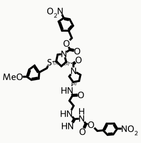 COc1ccc(CS[C@H]2C[C@@H](C(=O)N3CC[C@H](NC(=O)CCNC(=N)NC(=O)OCc4ccc([N+](=O)[O-])cc4)C3)N(C(=O)OCc3ccc([N+](=O)[O-])cc3)C2)cc1